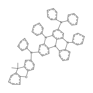 CC1(C)c2ccccc2Oc2ccc(N(c3ccccc3)c3ccc4c(c3)N(c3ccccc3)c3cc(N(c5ccccc5)c5ccccc5)cc5c3B4c3ccccc3N5c3ccccc3)cc21